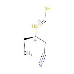 CC[C@H](CC#N)/[SH]=C/S